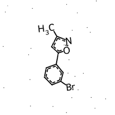 Cc1cc(-c2cccc(Br)c2)on1